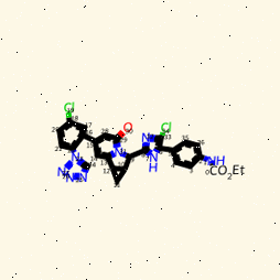 CCOC(=O)Nc1ccc(-c2[nH]c(C3C4CC4c4cc(-c5cc(Cl)ccc5-n5cnnn5)cc(=O)n43)nc2Cl)cc1